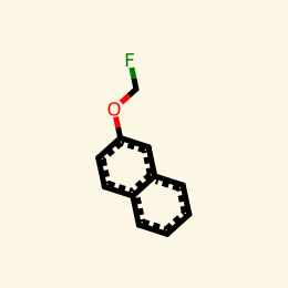 FCOc1ccc2ccccc2c1